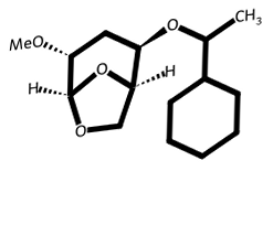 CO[C@@H]1C[C@@H](OC(C)C2CCCCC2)[C@H]2CO[C@@H]1O2